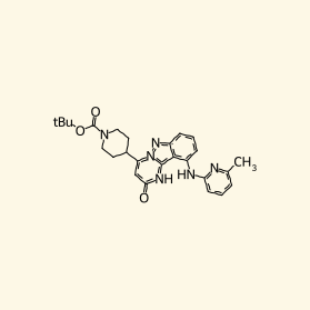 Cc1cccc(Nc2cccc3nn4c(C5CCN(C(=O)OC(C)(C)C)CC5)cc(=O)[nH]c4c23)n1